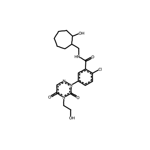 O=C(NCC1CCCCCC1O)c1cc(-n2ncc(=O)n(CCO)c2=O)ccc1Cl